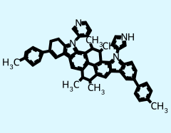 Cc1ccc(C2=Cc3c(n(-c4cccnc4)c4c5c6c(cc34)C(C)C(C)c3cc4c7cc(-c8ccc(C)cc8)ccc7n(-c7cc[nH]c7)c4c(c3-6)C(C)C5C)CC2)cc1